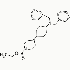 CCOC(=O)N1CCN(C2CCC(N(Cc3ccccc3)Cc3ccccc3)CC2)CC1